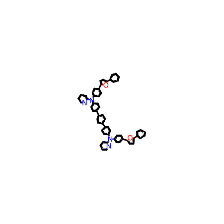 c1ccc(-c2ccc(-c3ccc(N(c4ccc(-c5ccc(-c6ccc(N(c7ccc(-c8ccc(-c9ccccc9)o8)cc7)c7ccccn7)cc6)cc5)cc4)c4ccccn4)cc3)o2)cc1